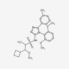 COc1cccc(OC)c1-n1c(NS(=O)(=O)C(C)C(OC)C2CCC2)nnc1-c1cncc(C)c1